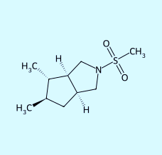 C[C@@H]1[C@H]2CN(S(C)(=O)=O)C[C@H]2C[C@H]1C